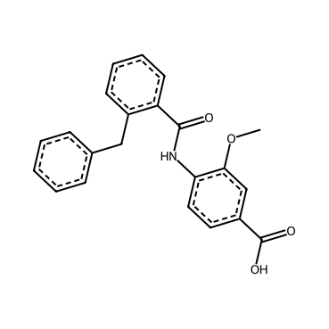 COc1cc(C(=O)O)ccc1NC(=O)c1ccccc1Cc1ccccc1